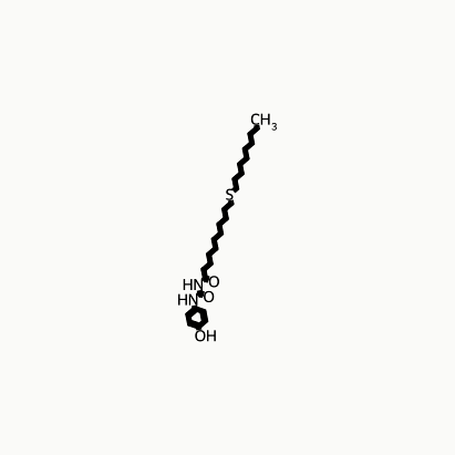 CCCCCCCCCCSCCCCCCCCCCC(=O)NC(=O)Nc1ccc(O)cc1